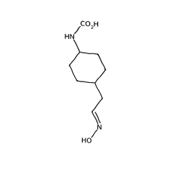 O=C(O)NC1CCC(CC=NO)CC1